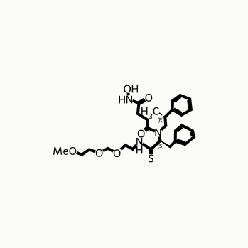 COCCOCOCCNC(=S)[C@H](Cc1ccccc1)N(C[C@H](C)c1ccccc1)C(=O)CCC(=O)NO